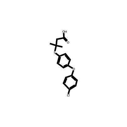 CC(C)(CC(=O)O)Sc1ccc(Oc2ccc(Cl)cc2)cc1